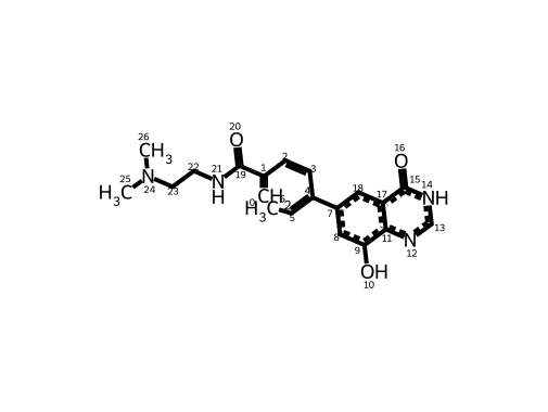 C=C(/C=C\C(=C/C)c1cc(O)c2nc[nH]c(=O)c2c1)C(=O)NCCN(C)C